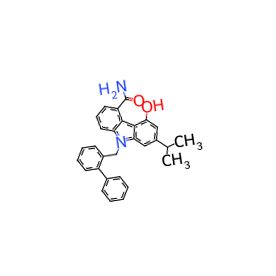 CC(C)c1cc(O)c2c3c(C(N)=O)cccc3n(Cc3ccccc3-c3ccccc3)c2c1